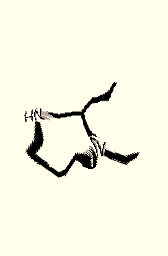 CC1NC[CH]N1C